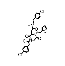 O=C(CC1C(=O)N(C(Cl)Cc2ccc(Cl)cc2)CC(=O)N1CCc1cccs1)NCCc1ccc(Cl)cc1